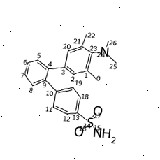 Cc1cc(-c2ccccc2-c2ccc(S(N)(=O)=O)cc2)cc(C)c1N(C)C